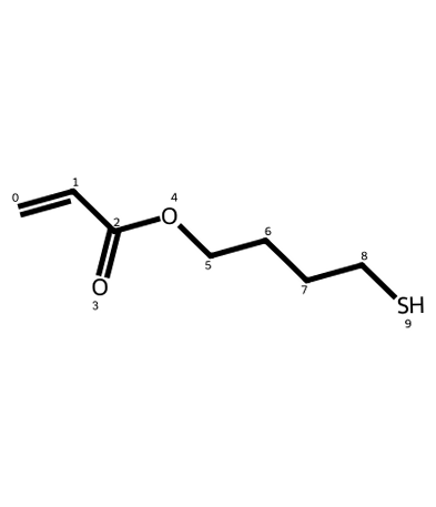 C=CC(=O)OCCCCS